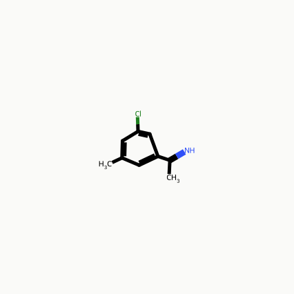 CC(=N)c1cc(C)cc(Cl)c1